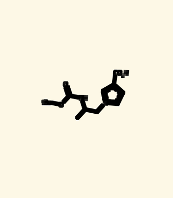 CC(Cn1ccc(C(=O)O)c1)NC(=O)OC(C)(C)C